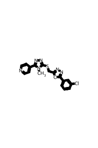 Cn1c(SCc2nnc(-c3cccc(Cl)c3)o2)nnc1-c1ccncc1